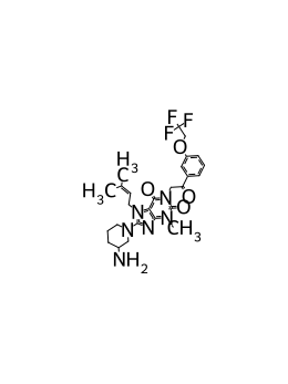 CC(C)=CCn1c(N2CCCC(N)C2)nc2c1c(=O)n(CC(=O)c1cccc(OCC(F)(F)F)c1)c(=O)n2C